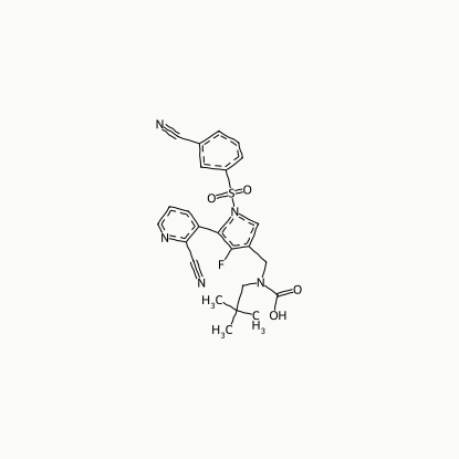 CC(C)(C)CN(Cc1cn(S(=O)(=O)c2cccc(C#N)c2)c(-c2cccnc2C#N)c1F)C(=O)O